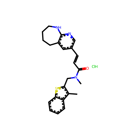 Cc1c(CN(C)C(=O)C=Cc2cnc3c(c2)CCCCN3)sc2ccccc12.Cl